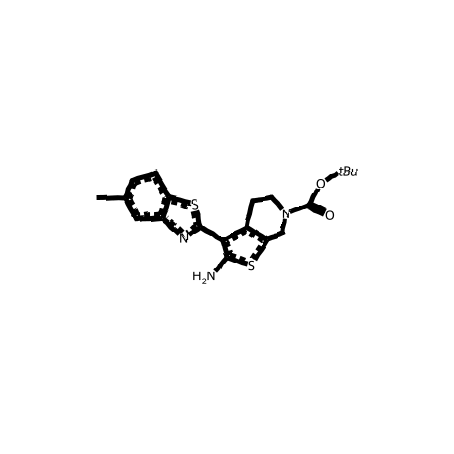 Cc1ccc2sc(-c3c(N)sc4c3CCN(C(=O)OC(C)(C)C)C4)nc2c1